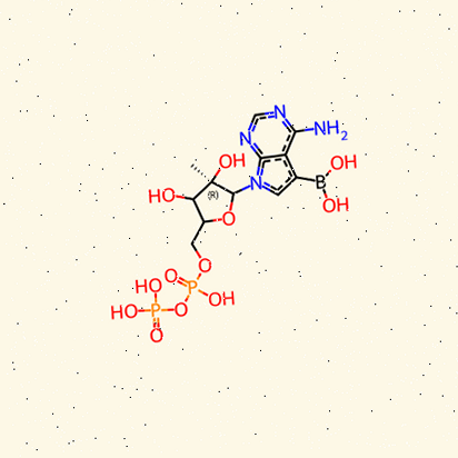 C[C@@]1(O)C(O)C(COP(=O)(O)OP(=O)(O)O)OC1n1cc(B(O)O)c2c(N)ncnc21